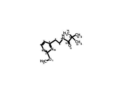 COc1nccc(CCNC(=O)C(C)(C)C)n1